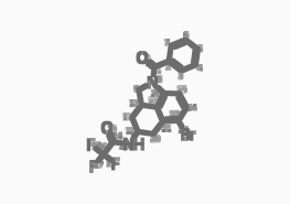 O=C(c1ccccc1)N1CC2CC(NC(=O)C(F)(F)F)Cc3c(Br)ccc1c32